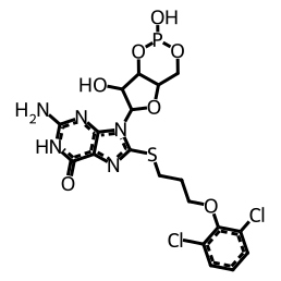 Nc1nc2c(nc(SCCCOc3c(Cl)cccc3Cl)n2C2OC3COP(O)OC3C2O)c(=O)[nH]1